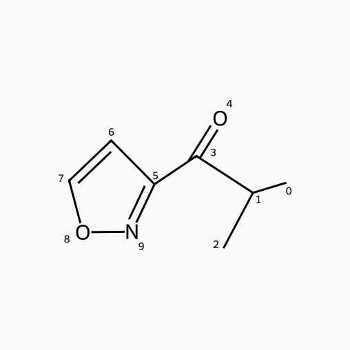 CC(C)C(=O)c1ccon1